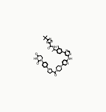 Cc1cc(-c2cc(Nc3ccc(N4CCN(C(=O)C5CCN(c6ccc(N7CCC(=O)NC7=O)cc6)C5)CC4)cn3)ncn2)ccc1[C@@H](C)NC(=O)c1nc(C(C)(C)C)no1